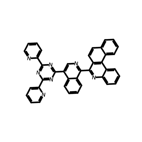 c1ccc(-c2nc(-c3ccccn3)nc(-c3cnc(-c4nc5ccccc5c5c4ccc4ccccc45)c4ccccc34)n2)nc1